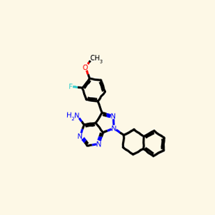 COc1ccc(-c2nn(C3CCc4ccccc4C3)c3ncnc(N)c23)cc1F